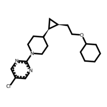 Clc1cnc(N2CCC([C@H]3C[C@H]3CCOC3CCCCC3)CC2)nc1